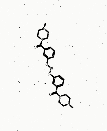 CN1CCN(C(=O)c2cccc(OBOc3cccc(C(=O)N4CCN(C)CC4)c3)c2)CC1